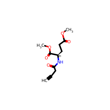 C#CCC(=O)N[C@H](CCC(=O)OC)C(=O)OC